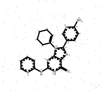 O=c1[nH]c(Nc2ccccn2)nc2c1nc(-c1ccc([N+](=O)[O-])nc1)n2C1=CCCCC1